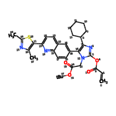 C=CC(=O)Oc1nc(C2CCCCC2)c(-c2ccc3nc(-c4sc(C)nc4C)ccc3c2)n1CC(=O)OC(C)(C)C